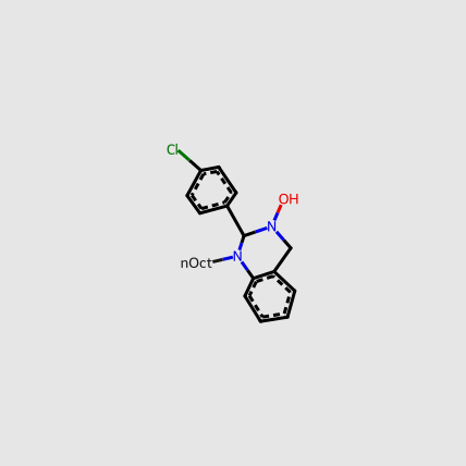 CCCCCCCCN1c2ccccc2CN(O)C1c1ccc(Cl)cc1